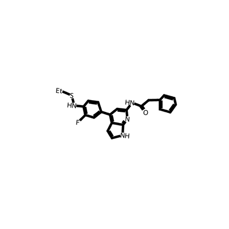 CCSNc1ccc(-c2cc(NC(=O)Cc3ccccc3)nc3[nH]ccc23)cc1F